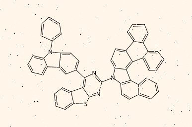 c1ccc(-n2c3ccccc3c3cc(-c4nc(-n5c6ccc7ccccc7c6c6c7c8ccccc8c8ccccc8c7ccc65)nc5sc6ccccc6c45)ccc32)cc1